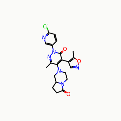 Cc1nn(-c2ccc(Cl)nc2)c(=O)c(-c2cnoc2C)c1N1CCN2C(=O)CCC2C1